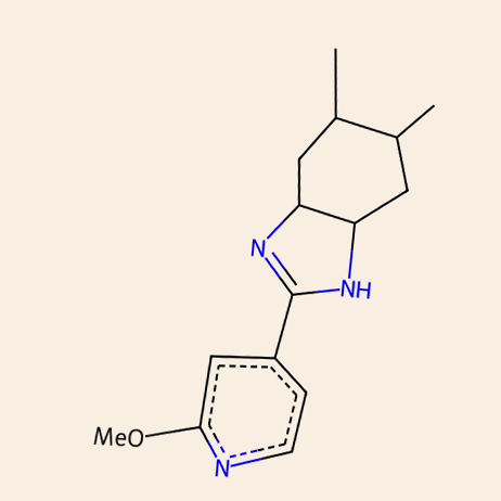 COc1cc(C2=NC3CC(C)C(C)CC3N2)ccn1